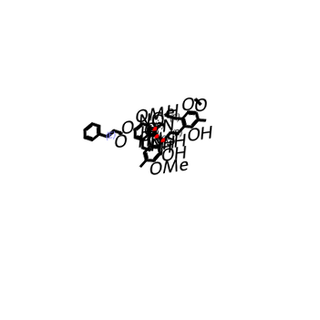 COc1cc2c(cc1OC(=O)/C=C/c1ccccc1)CCN[C@]21CS[C@@H]2c3c(O)c(C)c4c(c3[C@H](COC1=O)N1C2[C@H]2N[C@@H](Cc3cc(C)c(OC)c(O)c32)[C@@H]1C#N)OCO4